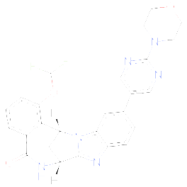 O=C1N[C@@H]2C[C@H](c3c(OC(F)F)cccc31)n1c2nc2ccc(-c3cnc(N4CCOCC4)nc3)cc21